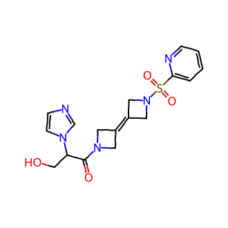 O=C(C(CO)n1ccnc1)N1CC(=C2CN(S(=O)(=O)c3ccccn3)C2)C1